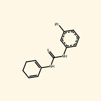 CC(C)c1cccc(NC(=S)NC2=CC[CH]C=C2)c1